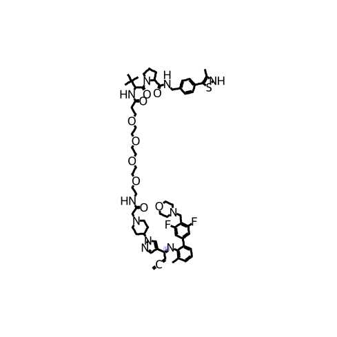 C=C=C/C(=N\c1c(C)cccc1-c1cc(F)c(CN2CCOCC2)c(F)c1)c1cnn(C2CCN(CC(=O)NCCOCCOCCOCCOCCC(=O)NC(C(=O)N3CCCC3C(=O)NCc3ccc(-c4s[nH]c4C)cc3)C(C)(C)C)CC2)c1